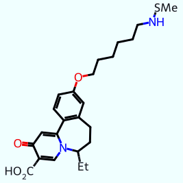 CCC1CCc2cc(OCCCCCCNSC)ccc2-c2cc(=O)c(C(=O)O)cn21